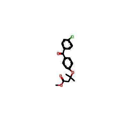 COC(=O)CC(C)(C)Oc1ccc(C(=O)c2ccc(Cl)cc2)cc1